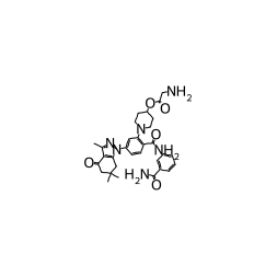 Cc1nn(-c2ccc(C(N)=O)c(N3CCC(OC(=O)CN)CC3)c2)c2c1C(=O)CC(C)(C)C2.NC(=O)c1ccccc1